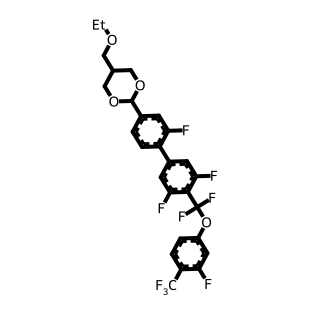 CCOCC1COC(c2ccc(-c3cc(F)c(C(F)(F)Oc4ccc(C(F)(F)F)c(F)c4)c(F)c3)c(F)c2)OC1